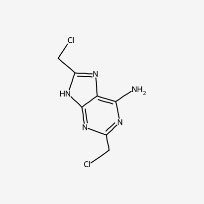 Nc1nc(CCl)nc2[nH]c(CCl)nc12